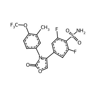 Cc1cc(-n2c(-c3cc(F)c(S(N)(=O)=O)c(F)c3)coc2=O)ccc1OC(F)(F)F